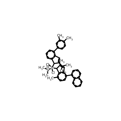 CC1=Cc2c(-c3cccc4ccccc34)ccc(C)c2[CH]1[Zr]([Cl])([Cl])([CH]1C(C(C)C)=Cc2c(-c3ccc(C)c(C)c3)cccc21)[SiH](C)C